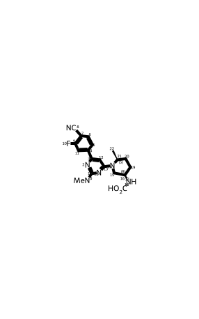 CNc1nc(-c2ccc(C#N)c(F)c2)cc(N2C[C@H](NC(=O)O)CC[C@@H]2C)n1